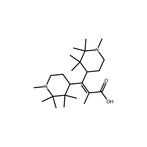 CC(C(=O)O)=C(C1CCN(C)C(C)(C)C1(C)C)C1CCN(C)C(C)(C)C1(C)C